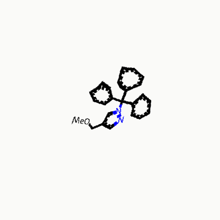 COCc1cnn(C(c2ccccc2)(c2ccccc2)c2ccccc2)c1